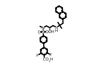 CN(C[C@H](O)CNC(C)(C)Cc1ccc2ccccc2c1)S(=O)(=O)c1ccc(-c2cc(F)c(C(=O)O)c(F)c2)cc1